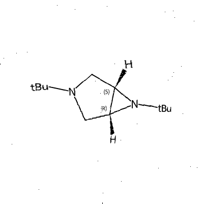 CC(C)(C)N1C[C@@H]2[C@H](C1)N2C(C)(C)C